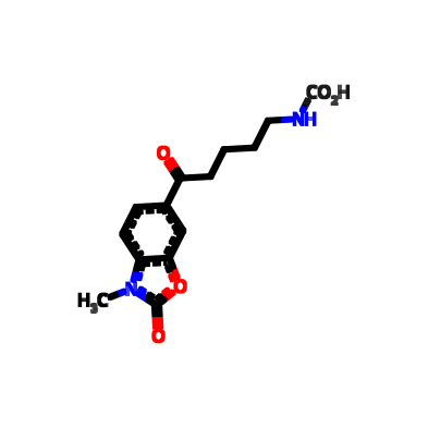 Cn1c(=O)oc2cc(C(=O)CCCCNC(=O)O)ccc21